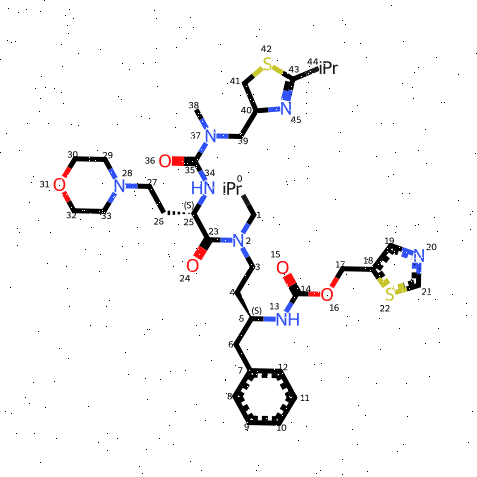 CC(C)CN(CC[C@H](Cc1ccccc1)NC(=O)OCc1cncs1)C(=O)[C@H](CCN1CCOCC1)NC(=O)N(C)CC1CSC(C(C)C)=N1